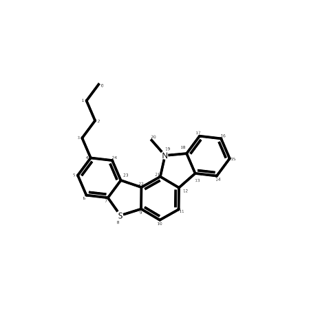 CCCCc1ccc2sc3ccc4c5ccccc5n(C)c4c3c2c1